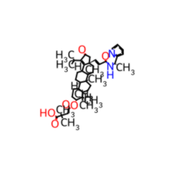 CC(C)C1=C2[C@H]3CC[C@@H]4[C@@]5(C)CC[C@H](OC(=O)CC(C)(C)C(=O)O)C(C)(C)[C@@H]5CC[C@@]4(C)[C@]3(C)CC[C@@]2(C=CC(=O)N[C@@H](C)c2ccccn2)CC1=O